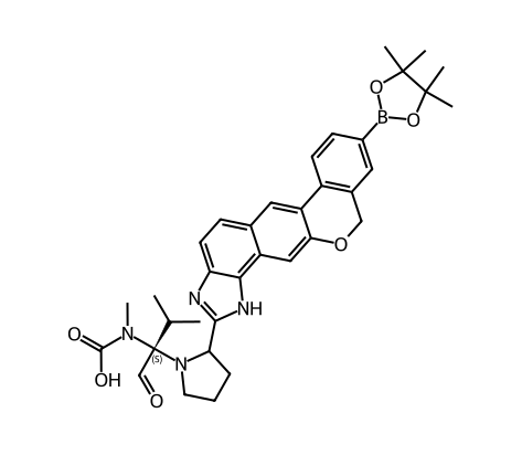 CC(C)[C@@](C=O)(N(C)C(=O)O)N1CCCC1c1nc2ccc3cc4c(cc3c2[nH]1)OCc1cc(B2OC(C)(C)C(C)(C)O2)ccc1-4